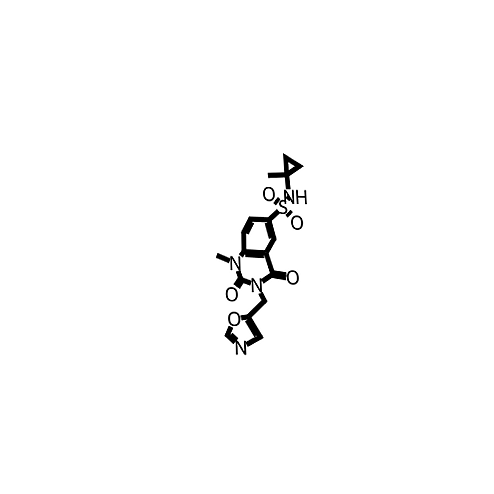 Cn1c(=O)n(Cc2cnco2)c(=O)c2cc(S(=O)(=O)NC3(C)CC3)ccc21